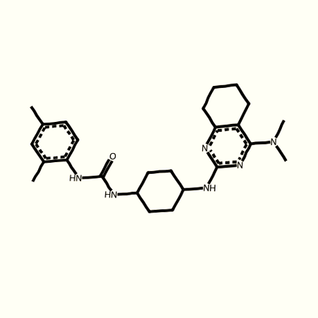 Cc1ccc(NC(=O)NC2CCC(Nc3nc4c(c(N(C)C)n3)CCCC4)CC2)c(C)c1